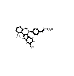 Cc1cccc(C(C)C)c1-c1sc2cc(O)ccc2c1Oc1ccc(/C=C/C(=O)O)cc1